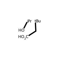 CC(C)(C)CC(=O)O.CC(C)O